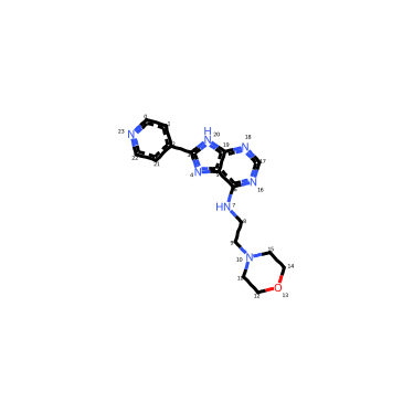 c1cc(-c2nc3c(NCCN4CCOCC4)ncnc3[nH]2)ccn1